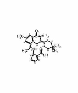 Cc1cc2c(c(C(C)Nc3ccccc3C(=O)O)c1)CN(N1CCC(C)(C)CC1)C(C)C2=O